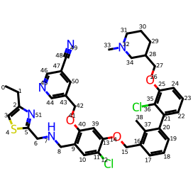 CCc1csc(CNCc2cc(Cl)c(OCc3cccc(-c4cccc(OCC5CCCN(C)C5)c4Cl)c3C)cc2OCc2cncc(C#N)c2)n1